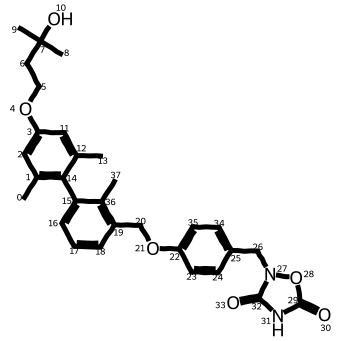 Cc1cc(OCCC(C)(C)O)cc(C)c1-c1cccc(COc2ccc(Cn3oc(=O)[nH]c3=O)cc2)c1C